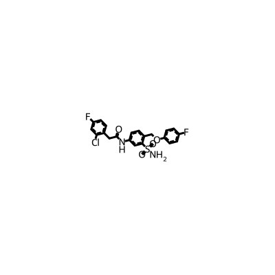 NS(=O)(=O)c1cc(NC(=O)Cc2ccc(F)cc2Cl)ccc1COc1ccc(F)cc1